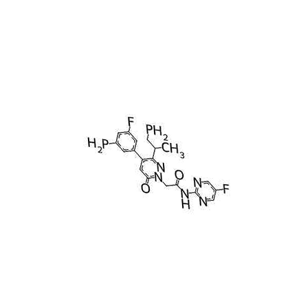 CC(CP)c1nn(CC(=O)Nc2ncc(F)cn2)c(=O)cc1-c1cc(F)cc(P)c1